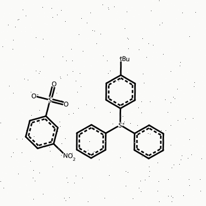 CC(C)(C)c1ccc([S+](c2ccccc2)c2ccccc2)cc1.O=[N+]([O-])c1cccc(S(=O)(=O)[O-])c1